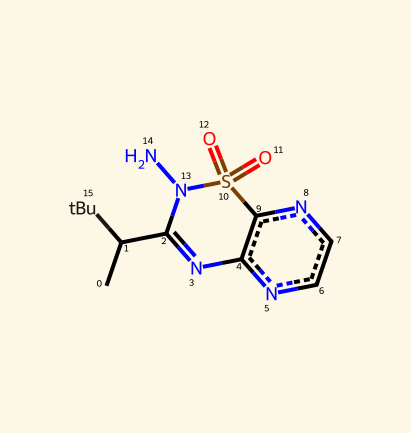 CC(C1=Nc2nccnc2S(=O)(=O)N1N)C(C)(C)C